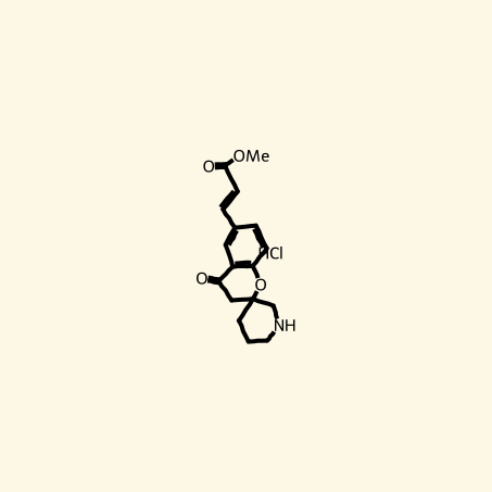 COC(=O)/C=C/c1ccc2c(c1)C(=O)CC1(CCCNC1)O2.Cl